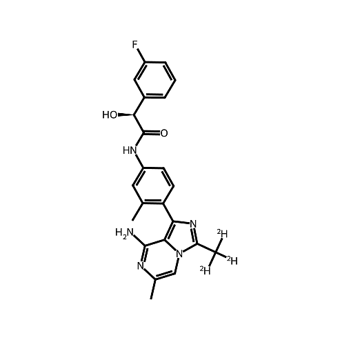 [2H]C([2H])([2H])c1nc(-c2ccc(NC(=O)[C@@H](O)c3cccc(F)c3)cc2C)c2c(N)nc(C)cn12